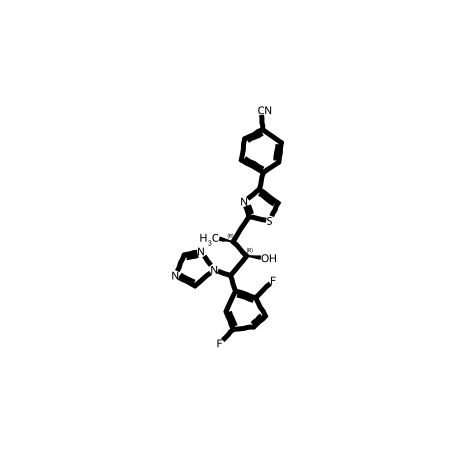 C[C@@H](c1nc(-c2ccc(C#N)cc2)cs1)[C@@H](O)C(c1cc(F)ccc1F)n1cncn1